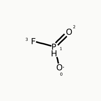 [O][PH](=O)F